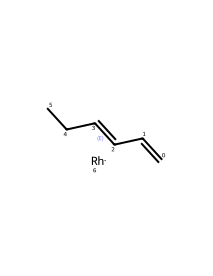 C=C/C=C/CC.[Rh]